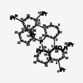 CC(C)c1cc(C(C)C)c(-c2cccc(-c3c(C(C)C)cc(C(C)C)cc3C(C)C)c2P(c2ccccc2)c2ccccc2S(=O)(=O)O)c(C(C)C)c1